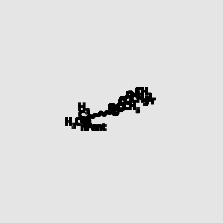 CCCCCc1oc(CCCCCCCCC(=O)OC2CCC3(C)C(=CCC4C3CCC3(C)C(C(C)CCCC(C)C)CCC43)C2)c(C)c1C